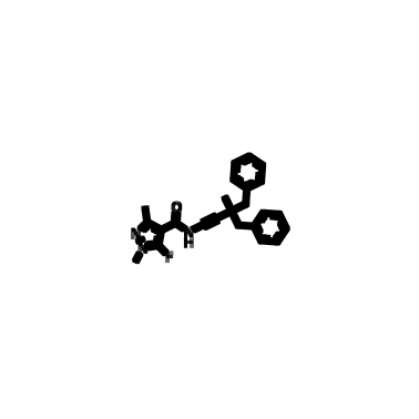 Cc1nn(C)c(F)c1C(=O)NC#CC(C)(Cc1ccccc1)Cc1ccccc1